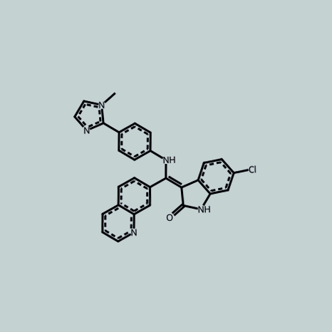 Cn1ccnc1-c1ccc(NC(=C2C(=O)Nc3cc(Cl)ccc32)c2ccc3cccnc3c2)cc1